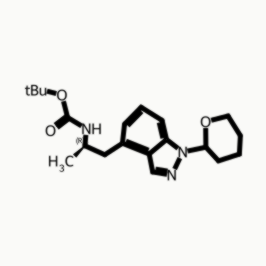 C[C@H](Cc1cccc2c1cnn2C1CCCCO1)NC(=O)OC(C)(C)C